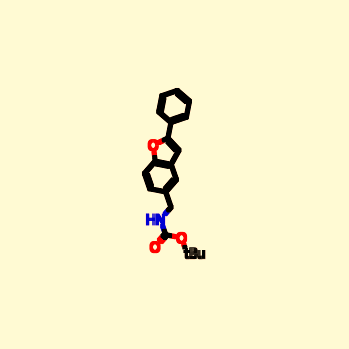 CC(C)(C)OC(=O)NCc1ccc2oc(-c3ccccc3)cc2c1